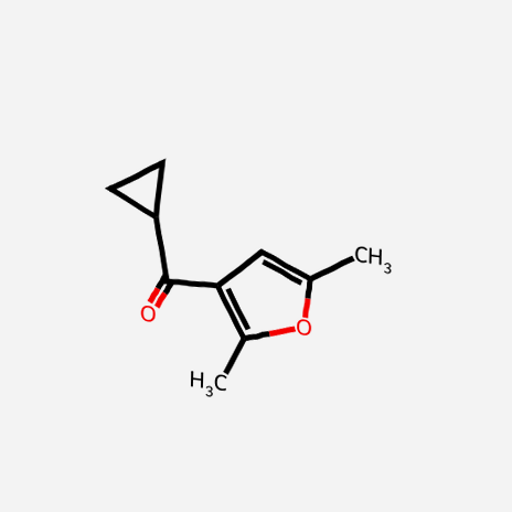 Cc1cc(C(=O)C2CC2)c(C)o1